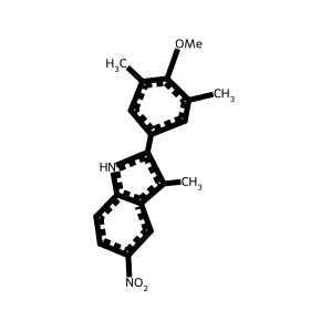 COc1c(C)cc(-c2[nH]c3ccc([N+](=O)[O-])cc3c2C)cc1C